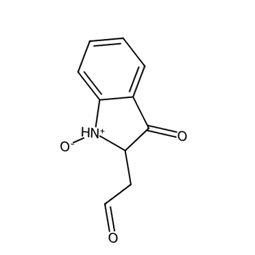 O=CCC1C(=O)c2ccccc2[NH+]1[O-]